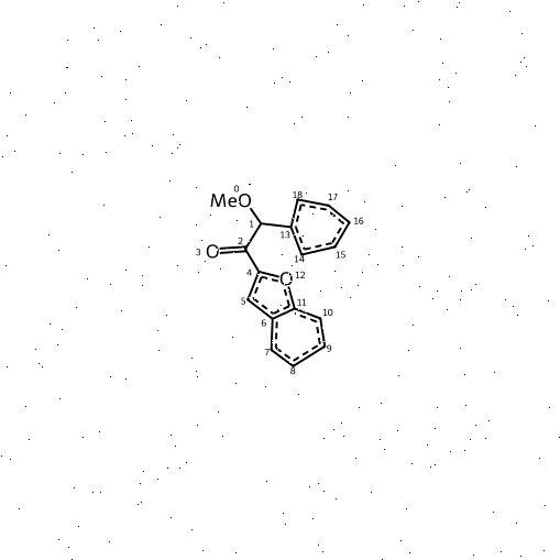 COC(C(=O)c1cc2ccccc2o1)c1ccccc1